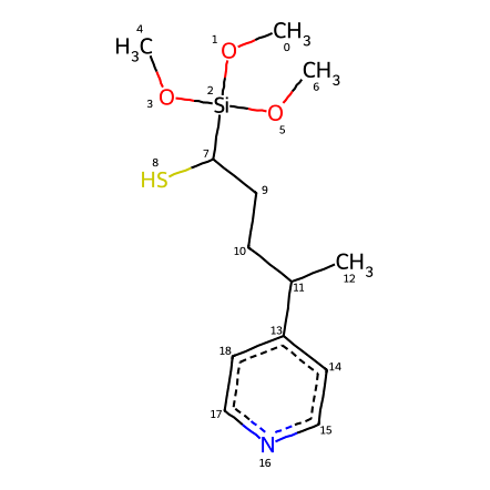 CO[Si](OC)(OC)C(S)CCC(C)c1ccncc1